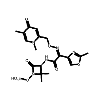 Cc1nc(/C(=N/OCc2cc(=O)c(C)cn2C)C(=O)N[C@@H]2C(=O)N(OS(=O)(=O)O)C2(C)C)cs1